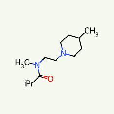 CC1CCN(CCN(C)C(=O)C(C)C)CC1